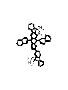 CC1(C)c2ccccc2-c2ccc(-c3ccc4c(-c5ccc6ccccc6c5)c5cc6c(cc5c(-c5ccc7ccccc7c5)c4c3)[Si](C)(C)c3ccccc3-6)cc21